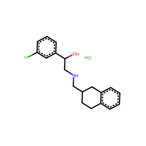 Cl.OC(CNCC1CCc2ccccc2C1)c1cccc(Cl)c1